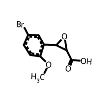 COc1ccc(Br)cc1C1OC1C(=O)O